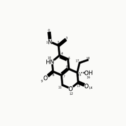 C=NC(=C)c1cc2c(c(=O)[nH]1)COC(=O)[C@]2(O)CC